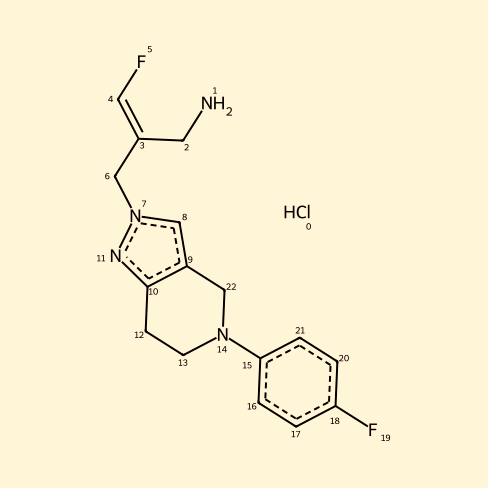 Cl.NC/C(=C\F)Cn1cc2c(n1)CCN(c1ccc(F)cc1)C2